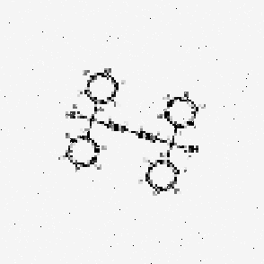 OC(C#CC#CC(O)(c1ccccc1)c1ccccc1)(c1ccccc1)c1ccccc1